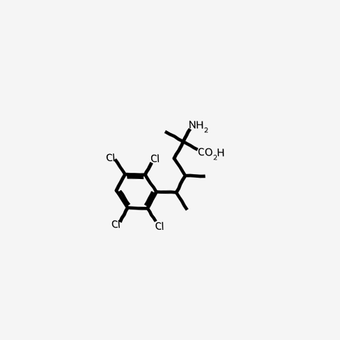 CC(CC(C)(N)C(=O)O)C(C)c1c(Cl)c(Cl)cc(Cl)c1Cl